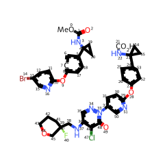 COC(=O)NC1(c2ccc(Oc3ccc(Br)cn3)cc2)CC1.O=C(O)NC1(c2ccc(Oc3ccc(-n4ncc(NC[C@@]5(F)CCCOC5)c(Cl)c4=O)cn3)cc2)CC1